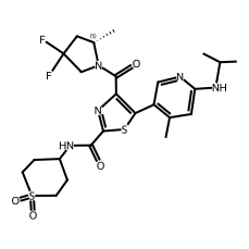 Cc1cc(NC(C)C)ncc1-c1sc(C(=O)NC2CCS(=O)(=O)CC2)nc1C(=O)N1CC(F)(F)C[C@@H]1C